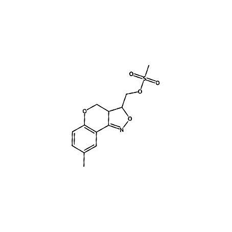 Cc1ccc2c(c1)C1=NOC(COS(C)(=O)=O)C1CO2